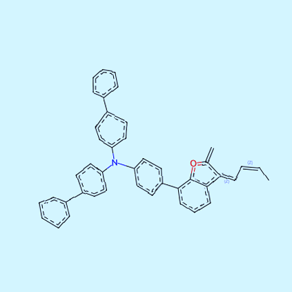 C=c1oc2c(-c3ccc(N(c4ccc(-c5ccccc5)cc4)c4ccc(-c5ccccc5)cc4)cc3)cccc2/c1=C/C=C\C